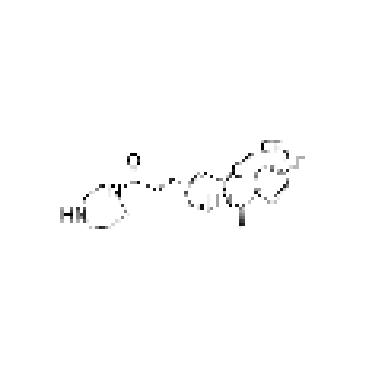 C=C=C(/C=C(C=C)/C=C/C(=O)N1CCCNCC1)NC(=C)c1ccc(F)c(C(F)(F)F)c1